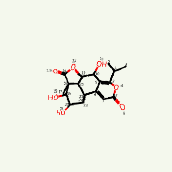 CC(C)c1oc(=O)cc2c1C(O)C1OC(=O)C3(C)C(O)C(O)CC2(C)C13